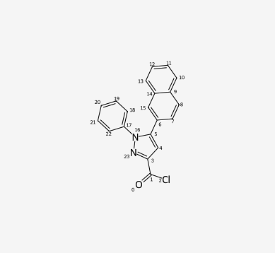 O=C(Cl)c1cc(-c2ccc3ccccc3c2)n(-c2ccccc2)n1